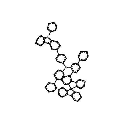 c1ccc(-c2ccc(N(c3ccc(-c4ccc5c(c4)c4ccccc4n5-c4ccccc4)cc3)c3cc(-c4ccccc4)ccc3-c3cccc4c3-c3ccccc3C43c4ccccc4-c4ccccc43)cc2)cc1